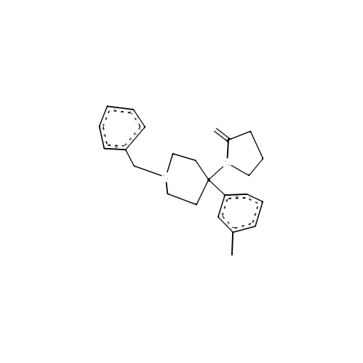 Cc1cccc(C2(N3CCCC3=O)CCN(Cc3ccccc3)CC2)c1